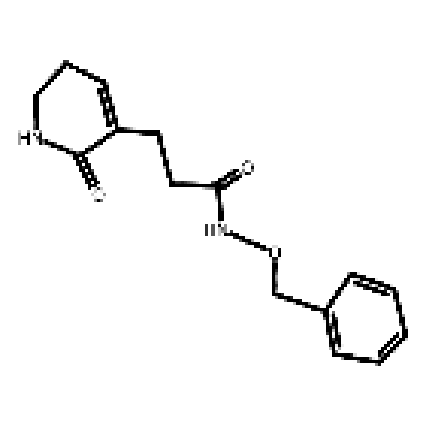 O=C(CCC1=CCCNC1=O)NOCc1ccccc1